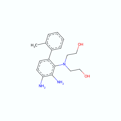 Cc1ccccc1-c1ccc(N)c(N)c1N(CCO)CCO